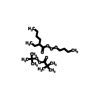 CC(C)(C)OOC(=O)C(C)(C)C.CCCCOOOC(=O)C(CC)CCCC